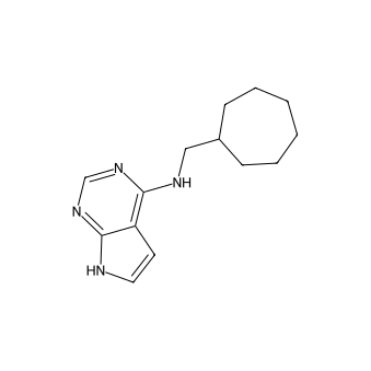 c1nc(NCC2CCCCCC2)c2cc[nH]c2n1